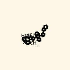 C=CC1=C(c2c(C)ccc3oc4ccccc4c23)c2ccc(-c3c4ccccc4c(-c4cccc(-c5ccc6c(c5)C=CCC6)c4)c4ccccc34)cc2C1(C)C